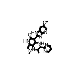 COc1cnc2nc(-c3c(N[C@@H](c4ncccn4)C(C)C)c4nn(C)cc4[nH]c3=O)[nH]c2c1